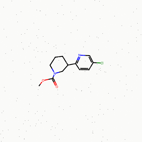 COC(=O)N1CCCC(c2ccc(Cl)cn2)C1